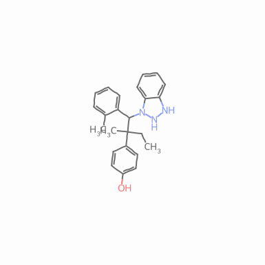 CCC(C)(c1ccc(O)cc1)C(c1ccccc1C)N1NNc2ccccc21